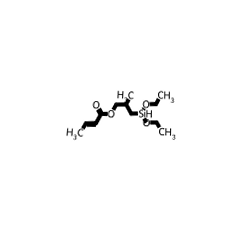 CC=CC(=O)OCC(C)C[SiH](OCC)OCC